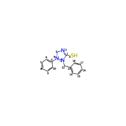 SC1=NCN(c2ccccc2)N1Cc1ccccc1